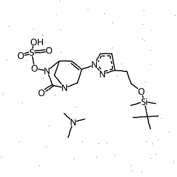 CC(C)(C)[Si](C)(C)OCCc1ccn(C2=CC3CN(C2)C(=O)N3OS(=O)(=O)O)n1.CN(C)C